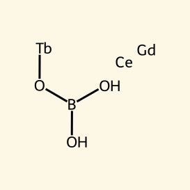 OB(O)[O][Tb].[Ce].[Gd]